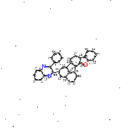 c1ccc(-c2nc3ccccc3nc2-c2cc3c4c(cccc4c2)-c2c-3ccc3c2oc2ccccc23)cc1